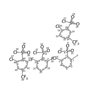 Cc1cccc(Cl)c1S(=O)(=O)Cl.O=S(=O)(Cl)c1c(F)cccc1F.O=S(=O)(Cl)c1cc(C(F)(F)F)ccc1Cl.O=S(=O)(Cl)c1ccc(C(F)(F)F)cc1Cl